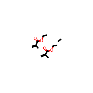 C=C(C)C(=O)OCC.C=C(C)C(=O)OCC.CC